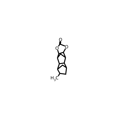 CC1CC2CC1C1C3CC(C4OC(=O)OC34)C21